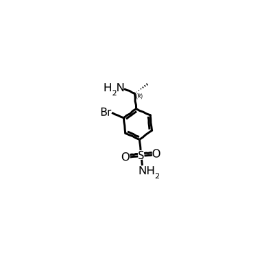 C[C@@H](N)c1ccc(S(N)(=O)=O)cc1Br